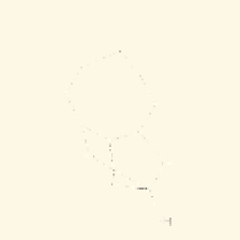 SC12OC3CCCCCC(O1)C3O2